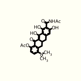 CC(=O)NC(=O)c1c(O)cc2c(c1O)C(O)=C1C(=O)c3c(OC(C)=O)ccc(N(C)C)c3CC1C2